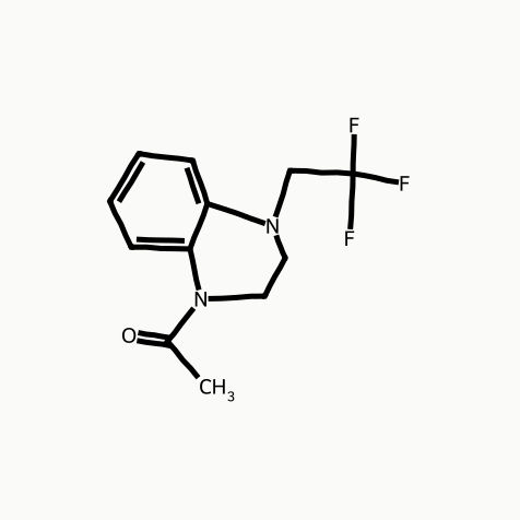 CC(=O)N1CCN(CC(F)(F)F)c2ccccc21